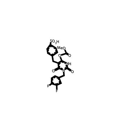 COC(=O)Oc1[nH]c(=O)n(Cc2ccc(F)c(F)c2)c(=O)c1Cc1ccc(S(=O)(=O)O)cc1